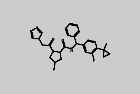 CC1(c2ccc(C(NC(=O)C3CC(F)CN3C(=O)Cn3cnnc3)c3ccccc3)cc2F)CC1